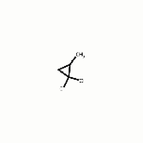 CC1CC1(Cl)Cl